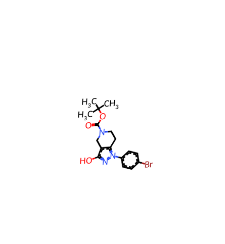 CC(C)(C)OC(=O)N1CCc2c(c(O)nn2-c2ccc(Br)cc2)C1